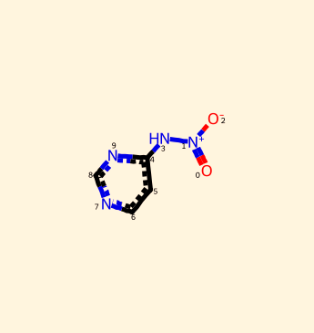 O=[N+]([O-])Nc1ccn[c]n1